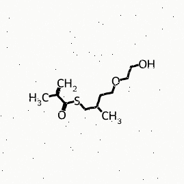 C=C(C)C(=O)SCC(C)CCOCCO